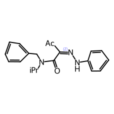 CC(=O)/C(=N/Nc1ccccc1)C(=O)N(Cc1ccccc1)C(C)C